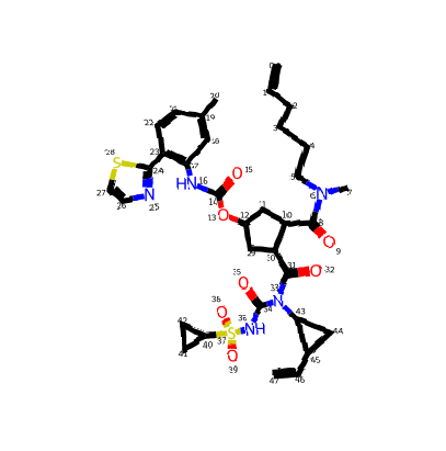 C=CCCCCN(C)C(=O)C1CC(OC(=O)Nc2cc(C)ccc2-c2nccs2)CC1C(=O)N(C(=O)NS(=O)(=O)C1CC1)C1CC1C=C